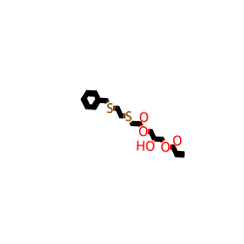 C=CC(=O)OCC(O)COC(=O)CSCCSCc1ccccc1